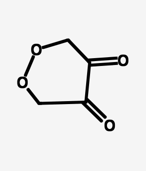 O=C1COOCC1=O